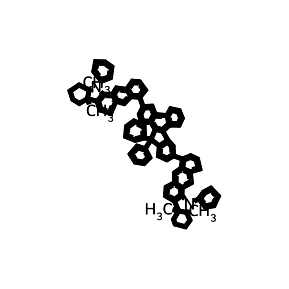 CC12CCCCC1(C)N(c1ccccc1)c1c2ccc2cc3c(-c4ccc5c(c4)-c4c(c6ccc(-c7cccc8cc9c%10c(ccc9cc78)C7(C)CCCCC7(C)N%10c7ccccc7)cc6c6ccccc46)C5(c4ccccc4)c4ccccc4)cccc3cc12